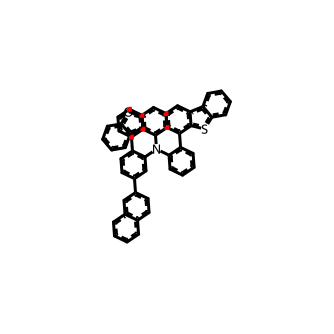 c1ccc(-c2ccc(-c3ccc4ccccc4c3)cc2N(c2ccccc2-c2cccc3c2sc2ccccc23)c2cccc3oc4ccccc4c23)cc1